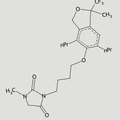 CCCc1cc2c(c(CCC)c1OCCCCN1C(=O)CN(C)C1=O)COC2(C)C(F)(F)F